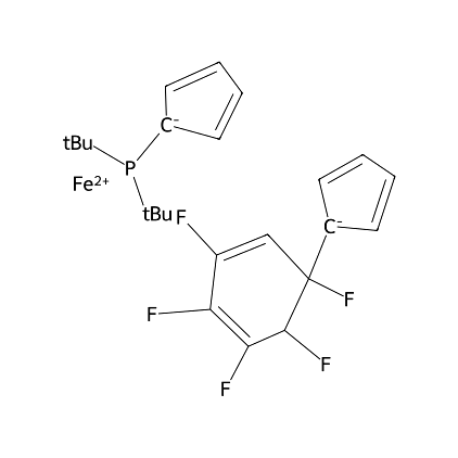 CC(C)(C)P([c-]1cccc1)C(C)(C)C.FC1=CC(F)([c-]2cccc2)C(F)C(F)=C1F.[Fe+2]